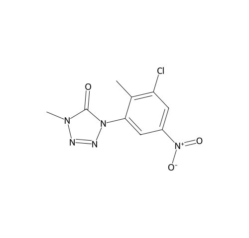 Cc1c(Cl)cc([N+](=O)[O-])cc1-n1nnn(C)c1=O